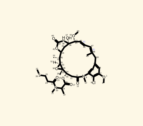 COc1cc2cc(c1Cl)N(C)C(=O)C[C@H](OC(=O)C(C)N(C)C(=O)CCSC)[C@]1(C)O[C@H]1[C@H](C)C1C[C@@](O)(NC(=O)O1)[C@H](OC)/C=C/C=C(\C)C2